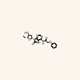 CC[C@H]1O[C@@H](n2c(=O)[nH]c3c(NC(=O)COc4ccccc4)ncnc32)CC1O